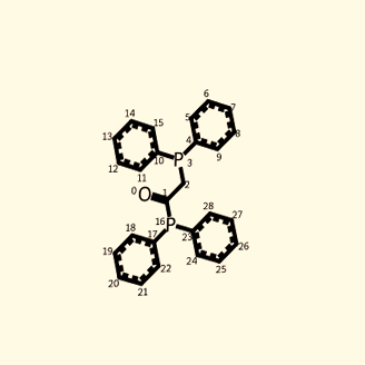 O=C(CP(c1ccccc1)c1ccccc1)P(c1ccccc1)c1ccccc1